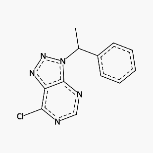 CC(c1ccccc1)n1nnc2c(Cl)ncnc21